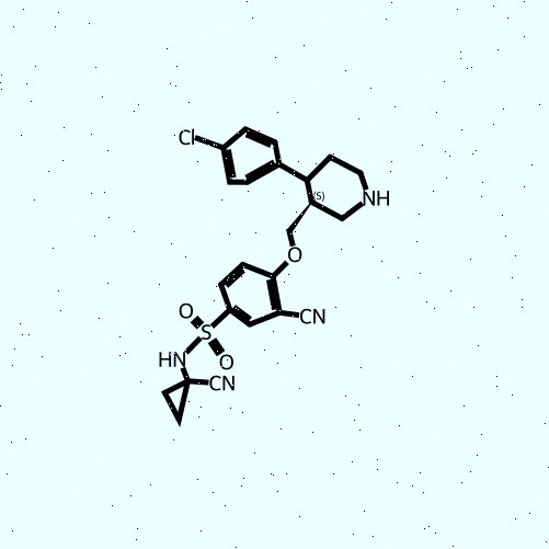 N#Cc1cc(S(=O)(=O)NC2(C#N)CC2)ccc1OC[C@@H]1CNCCC1c1ccc(Cl)cc1